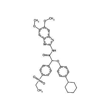 CCS(=O)(=O)c1ccc(C(Oc2ccc(C3CCCCC3)cc2)C(=O)Nc2nc3cc(OC)c(OC)cc3s2)cc1